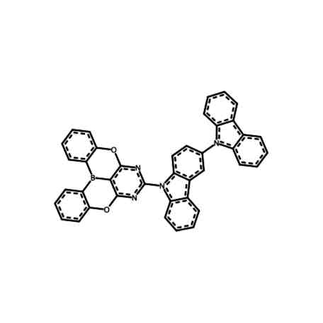 c1ccc2c(c1)Oc1nc(-n3c4ccccc4c4cc(-n5c6ccccc6c6ccccc65)ccc43)nc3c1B2c1ccccc1O3